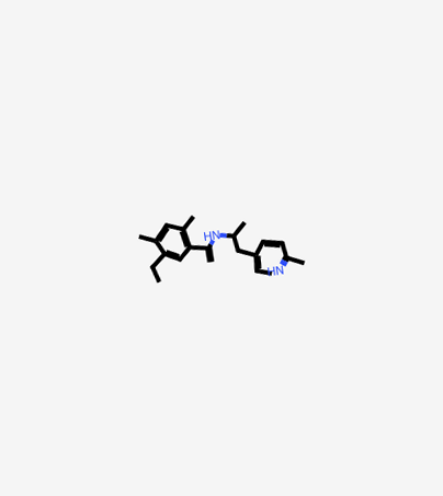 C=C(NC(C)CC(/C=C\C(C)=N)=C/C)c1cc(CC)c(C)cc1C